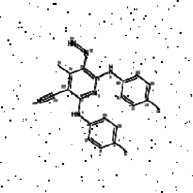 Cc1ccc(Nc2nc(Nc3ccc(C)cc3)c(N=N)c(C)c2C#N)cc1